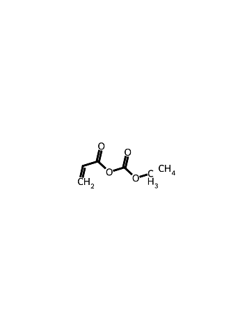 C.C=CC(=O)OC(=O)OC